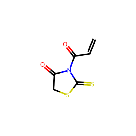 C=CC(=O)N1C(=O)CSC1=S